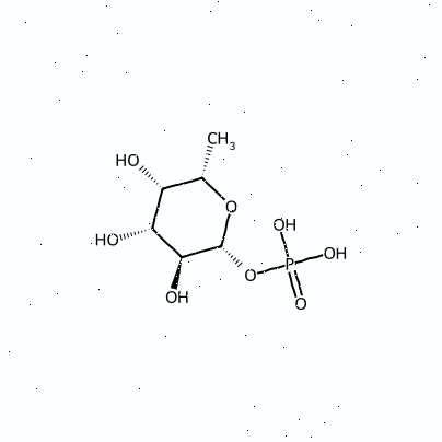 C[C@@H]1O[C@H](OP(=O)(O)O)[C@@H](O)[C@H](O)[C@@H]1O